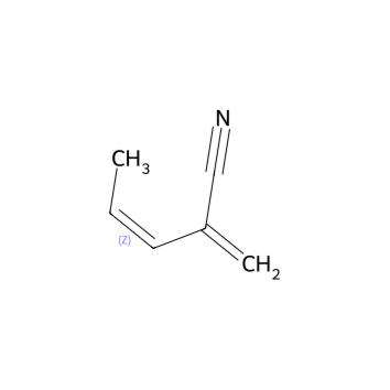 C=C(C#N)/C=C\C